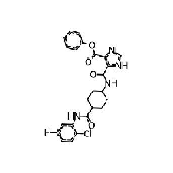 O=C(Oc1ccccc1)c1nc[nH]c1C(=O)NC1CCC(C(=O)Nc2cc(F)ccc2Cl)CC1